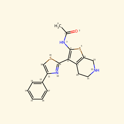 CC(=O)Nc1sc2c(c1-c1nc(-c3ccccc3)cs1)CCNC2